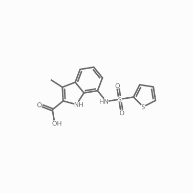 Cc1c(C(=O)O)[nH]c2c(NS(=O)(=O)c3cccs3)cccc12